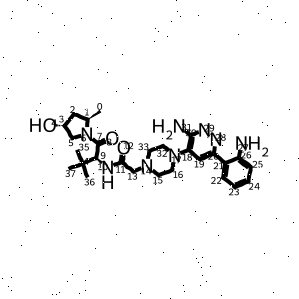 C[C@@H]1C[C@@H](O)CN1C(=O)[C@@H](NC(=O)CN1CCN(c2cc(-c3ccccc3N)nnc2N)CC1)C(C)(C)C